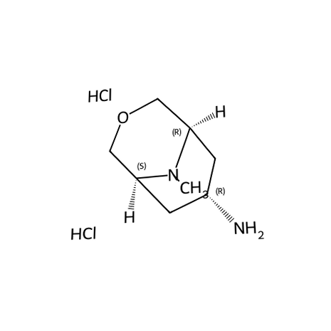 CN1[C@@H]2COC[C@H]1C[C@H](N)C2.Cl.Cl